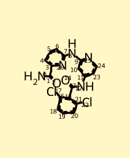 NC(=O)c1cccc(Nc2cc(NC(=O)c3c(Cl)cccc3Cl)ccn2)n1